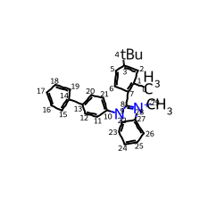 Cc1cc(C(C)(C)C)ccc1-c1n(-c2ccc(-c3ccccc3)cc2)c2ccccc2[n+]1C